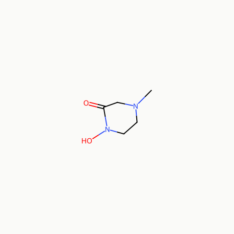 CN1CCN(O)C(=O)C1